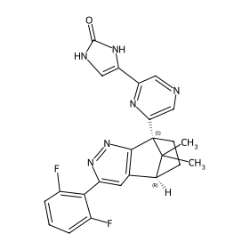 CC1(C)[C@H]2CC[C@]1(c1cncc(-c3c[nH]c(=O)[nH]3)n1)c1nnc(-c3c(F)cccc3F)cc12